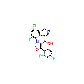 OC(C1=C(c2ccc(F)cc2F)OCN1c1ccc(Cl)cc1F)c1cccnc1